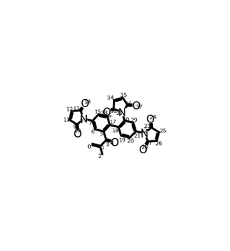 C=C(C)C(=O)c1cc(N2C(=O)C=CC2=O)ccc1-c1ccc(N2C(=O)C=CC2=O)cc1N1C(=O)C=CC1=O